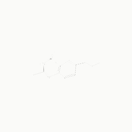 Cc1nc2ccc(CCBr)cc2c(=O)[nH]1